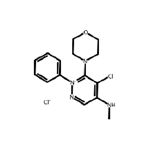 CNc1cn[n+](-c2ccccc2)c(N2CCOCC2)c1Cl.[Cl-]